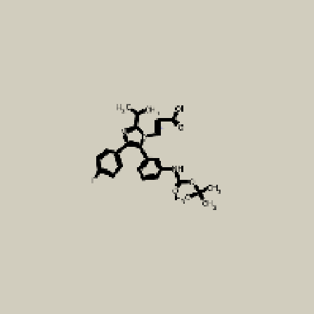 CC(C)c1nc(-c2ccc(F)cc2)c(-c2cccc(NC(=O)OC(C)(C)C)c2)n1/C=C/C(=O)O